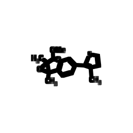 COC(=O)C1(C)OC1(C)c1ccc(-c2sccc2C)cc1